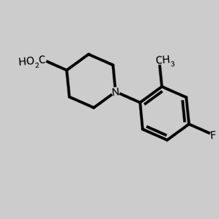 Cc1cc(F)ccc1N1CCC(C(=O)O)CC1